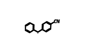 N#Cc1ccc([CH]c2ccccc2)cc1